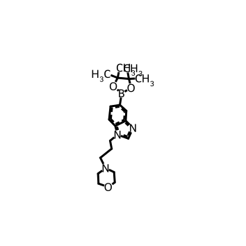 CC1(C)OB(c2ccc3c(c2)ncn3CCCN2CCOCC2)OC1(C)C